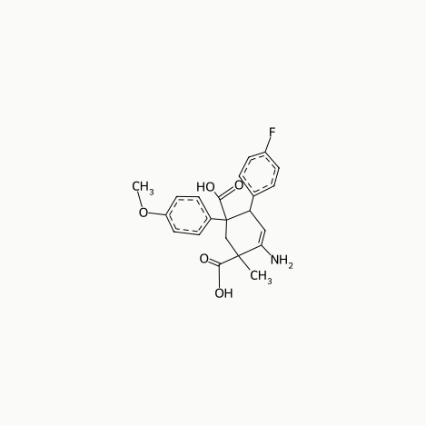 COc1ccc(C2(C(=O)O)CC(C)(C(=O)O)C(N)=CC2c2ccc(F)cc2)cc1